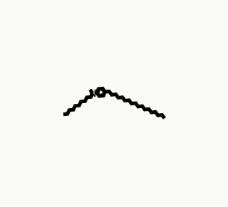 CCCCCCCCCCCCCCCCCCc1ccc(N(C)CCCCCCCCCC)cc1